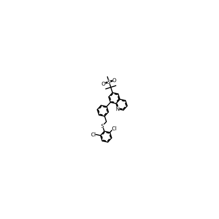 CC(C)(c1cc(-c2cccc(CSc3c(Cl)cccc3Cl)c2)c2ncccc2c1)S(C)(=O)=O